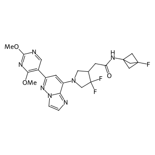 COc1ncc(-c2cc(N3CC(CC(=O)NC45CC(F)(C4)C5)C(F)(F)C3)c3nccn3n2)c(OC)n1